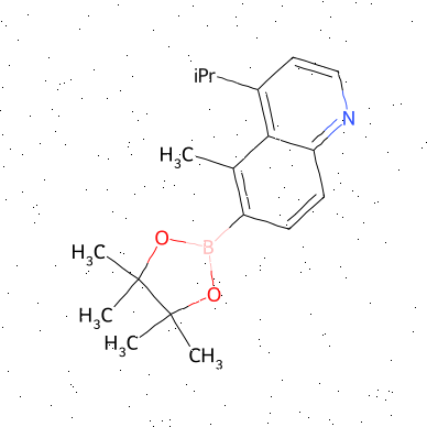 Cc1c(B2OC(C)(C)C(C)(C)O2)ccc2nccc(C(C)C)c12